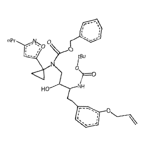 C=CCOc1cccc(CC(NC(=O)OC(C)(C)C)C(O)CN(C(=O)OCc2ccccc2)C2(c3cc(CCC)no3)CC2)c1